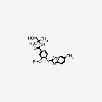 CCOc1cc(C(=O)NC(C)(C)CO)ccc1Nc1nc2ccc(C)cn2n1